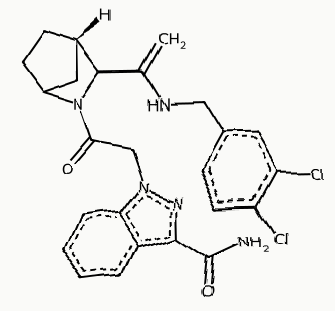 C=C(NCc1ccc(Cl)c(Cl)c1)C1[C@H]2CCC(C2)N1C(=O)Cn1nc(C(N)=O)c2ccccc21